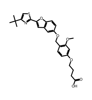 COc1cc(OCCCC(=O)O)ccc1COc1ccc2oc(-c3nc(C(C)(C)C)cs3)cc2c1